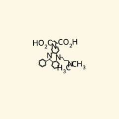 CN(C)CCCN1c2ccncc2N=C(c2ccccc2)c2ccccc21.O=C(O)C=CC(=O)O